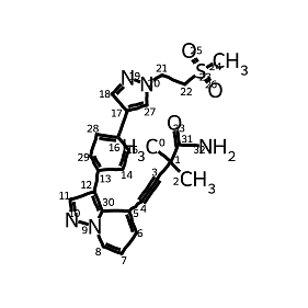 CC(C)(C#Cc1cccn2ncc(-c3ccc(-c4cnn(CCS(C)(=O)=O)c4)cc3)c12)C(N)=O